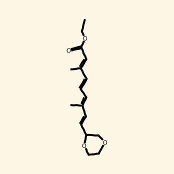 CCOC(=O)/C=C(C)/C=C/C=C(C)/C=C/C1COCCO1